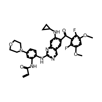 C=CC(=O)Nc1cc(N2CCOCC2)ccc1Nc1ncc2cc(C(=O)c3c(F)c(OC)cc(OC)c3F)c(NC3CC3)cc2n1